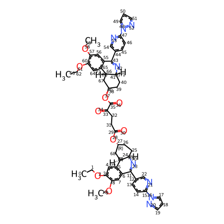 CCOc1cc2c(cc1OC)C(c1ccc(-n3cccn3)nc1)=N[C@@H]1CC[C@@H](OC(=O)CCC(=O)C(=O)O[C@@H]3CC[C@H]4N=C(c5ccc(-n6cccn6)nc5)c5cc(OC)c(OCC)cc5[C@H]4C3)C[C@H]21